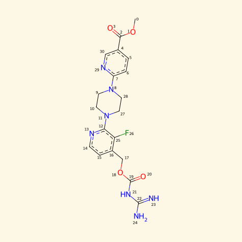 COC(=O)c1ccc(N2CCN(c3nccc(COC(=O)NC(=N)N)c3F)CC2)nc1